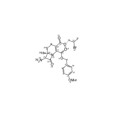 COc1ccc(COC(=O)C2=C(C(=O)OCC(C)Br)CS[C@H]3C(N)C(=O)N23)cc1